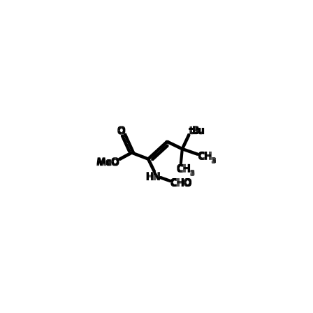 COC(=O)C(=CC(C)(C)C(C)(C)C)NC=O